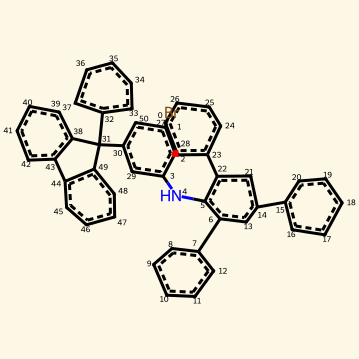 Brc1cc(Nc2c(-c3ccccc3)cc(-c3ccccc3)cc2-c2ccccc2)cc(C2(c3ccccc3)c3ccccc3-c3ccccc32)c1